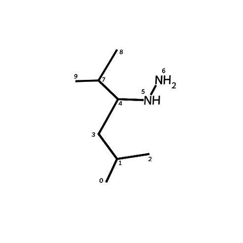 CC(C)CC(NN)C(C)C